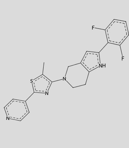 Cc1sc(-c2ccncc2)nc1N1CCc2[nH]c(-c3c(F)cccc3F)cc2C1